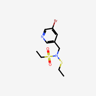 CCSN(Cc1cncc(Br)c1)S(=O)(=O)CC